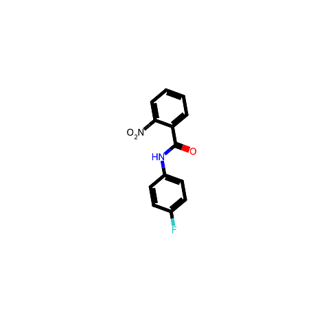 O=C(Nc1ccc(F)cc1)c1ccccc1[N+](=O)[O-]